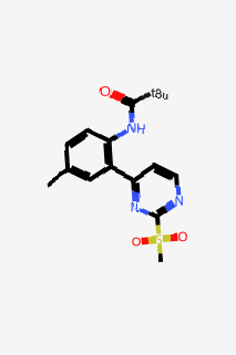 Cc1ccc(NC(=O)C(C)(C)C)c(-c2ccnc(S(C)(=O)=O)n2)c1